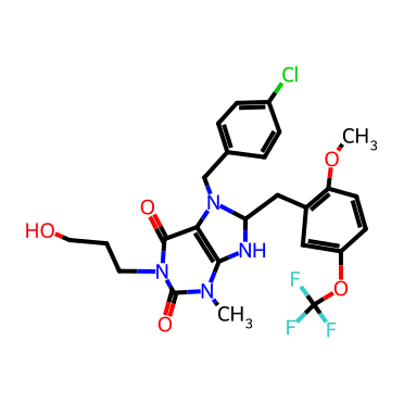 COc1ccc(OC(F)(F)F)cc1CC1Nc2c(c(=O)n(CCCO)c(=O)n2C)N1Cc1ccc(Cl)cc1